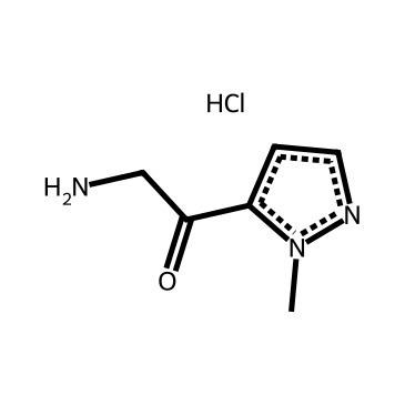 Cl.Cn1nccc1C(=O)CN